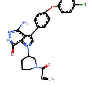 C=CC(=O)N1CCCC(n2cc(-c3ccc(Oc4ccc(Cl)cc4)cc3)c3c(N)n[nH]c(=O)c32)C1